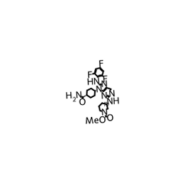 COC(=O)N1CCC[C@@H](Nc2ncc3nc(Nc4c(F)cc(F)cc4F)n([C@H]4CC[C@H](C(N)=O)CC4)c3n2)C1